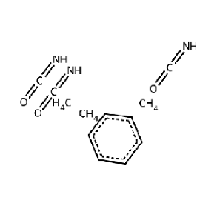 C.C.C.N=C=O.N=C=O.N=C=O.c1ccccc1